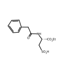 CCOC(=O)[C@H](CS(=O)(=O)O)NC(=O)Cc1ccccc1